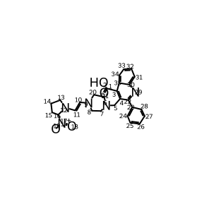 O=C(O)c1c(CN2CCN(C=CN3CCCC3[N+](=O)[O-])CC2)c(-c2ccccc2)nc2ccccc12